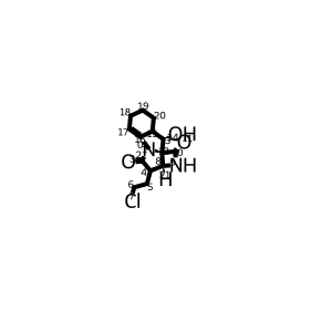 CN1C(=O)C(CCCl)[C@@H]2NC(=O)[C@@]21[C@@H](O)C1C=CCCC1